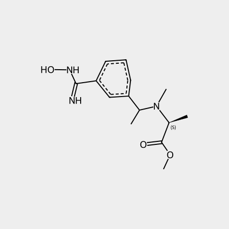 COC(=O)[C@H](C)N(C)C(C)c1cccc(C(=N)NO)c1